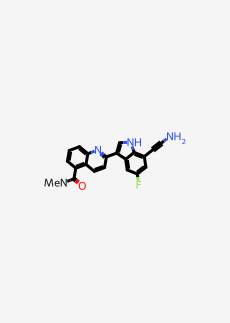 CNC(=O)c1cccc2nc(-c3c[nH]c4c(C#CN)cc(F)cc34)ccc12